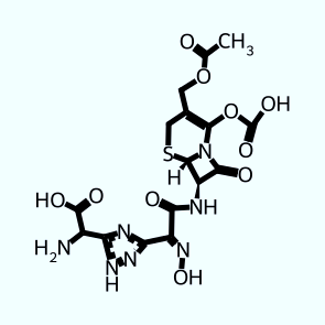 CC(=O)OCC1=C(OC(=O)O)N2C(=O)[C@@H](NC(=O)C(=NO)c3n[nH]c(C(N)C(=O)O)n3)[C@@H]2SC1